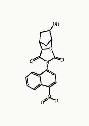 O=C1C2C3CC(O)C(C3)N2C(=O)N1c1ccc([N+](=O)[O-])c2ccccc12